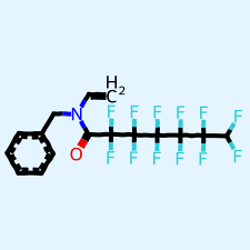 C=CN(Cc1ccccc1)C(=O)C(F)(F)C(F)(F)C(F)(F)C(F)(F)C(F)(F)C(F)F